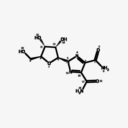 NC(=O)c1nn([C@H]2O[C@@H](CO)[C@H](O)[C@@H]2O)nc1C(N)=O